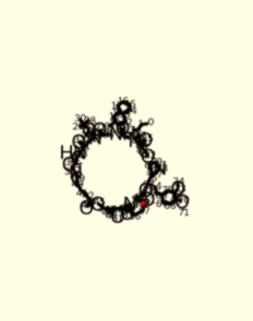 CCCC[C@H]1C(=O)N[C@@H](Cc2ccc3ccccc3c2)C(=O)N(C)[C@@H](COC(C)(C)C)C(=O)NCC(=O)N(C)CC/C=C/C(=O)OCC(C)(C)C(=O)C(=O)N2CCCC[C@H]2C(=O)O[C@H](CCc2ccc(OC)c(OC)c2)c2cncc(c2)OCC(=O)N1C